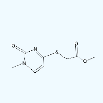 COC(=O)CSc1ccn(C)c(=O)n1